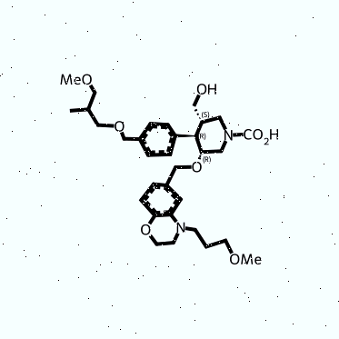 COCCCN1CCOc2ccc(CO[C@H]3CN(C(=O)O)C[C@@H](CO)[C@@H]3c3ccc(COCC(C)COC)cc3)cc21